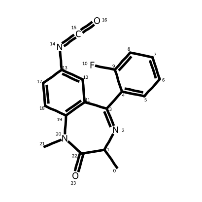 CC1N=C(c2ccccc2F)c2cc(N=C=O)ccc2N(C)C1=O